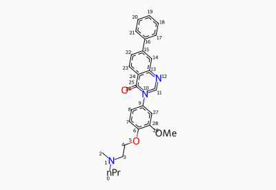 CCCN(C)CCOc1ccc(-n2cnc3cc(-c4ccccc4)ccc3c2=O)cc1OC